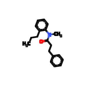 CCCc1ccccc1N(C)C(=O)CCc1ccccc1